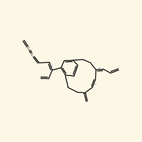 C=C=C=C/C=C(\C=C)c1cc2ccc1CCC(=C)/C=C\C(=C/C=C)CC2